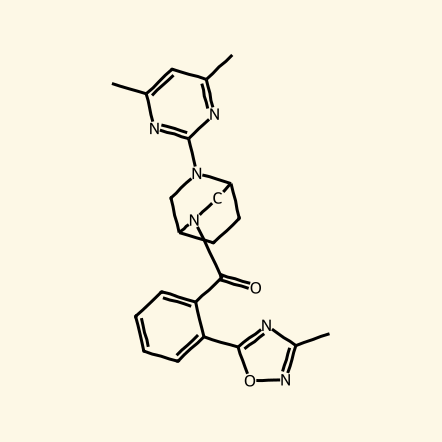 Cc1cc(C)nc(N2CC3CCC2CN3C(=O)c2ccccc2-c2nc(C)no2)n1